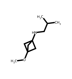 COC12CC(NCC(C)C)(C1)C2